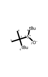 CC(C)(C)[S+]([O-])C(C)(C)C(C)(C)C